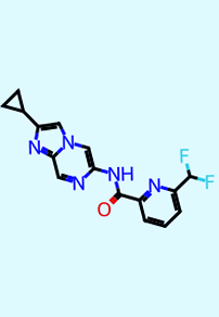 O=C(Nc1cn2cc(C3CC3)nc2cn1)c1cccc(C(F)F)n1